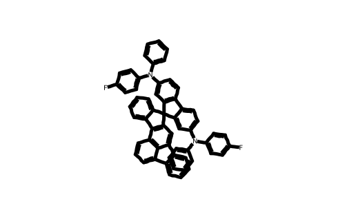 Fc1ccc(N(c2ccccc2)c2ccc3c(c2)C2(c4cc(N(c5ccccc5)c5ccc(F)cc5)ccc4-3)c3ccccc3-c3c2cc2c4c(cccc34)-c3ccccc3-2)cc1